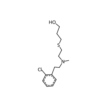 CN(CCSCCCO)CCc1ccccc1Cl